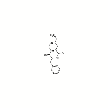 C=CCCOC(=O)NC(Cc1ccccc1)C(=O)NCC#N